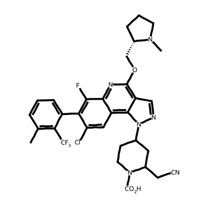 Cc1cccc(-c2c(Cl)cc3c(nc(OC[C@@H]4CCCN4C)c4cnn(C5CCN(C(=O)O)C(CC#N)C5)c43)c2F)c1C(F)(F)F